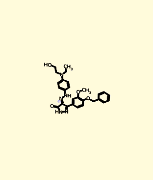 CCN(CCO)c1ccc(N/N=C2/C(=O)NN=C2c2ccc(OCc3ccccc3)c(OC)c2)cc1